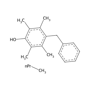 CCCC.Cc1c(C)c(Cc2ccccc2)c(C)c(C)c1O